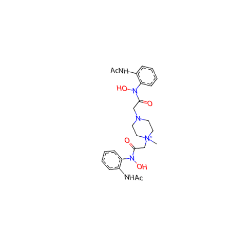 CC(=O)Nc1ccccc1N(O)C(=O)CN1CC[N+](C)(CC(=O)N(O)c2ccccc2NC(C)=O)CC1